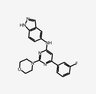 Fc1cccc(-c2cc(Nc3ccc4[nH]ncc4c3)nc(N3CCOCC3)n2)c1